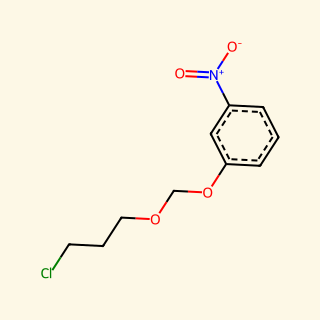 O=[N+]([O-])c1cccc(OCOCCCCl)c1